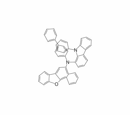 c1ccc(-c2ccc(N(c3cc4c5ccccc5oc4c4ccccc34)c3cccc4c5ccccc5n(-c5ccccc5)c34)cc2)cc1